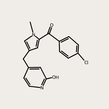 Cn1cc(Cc2ccnc(O)c2)cc1C(=O)c1ccc(Cl)cc1